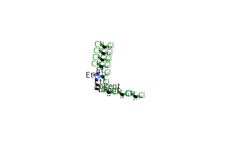 CCCCCC.CCCCCC.CC[N+](CC)(CC)C(Cl)Cl.ClCCl.ClCCl.ClCCl.ClCCl.ClCCl.ClCCl.ClCCl